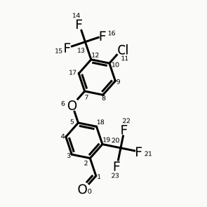 O=Cc1ccc(Oc2ccc(Cl)c(C(F)(F)F)c2)cc1C(F)(F)F